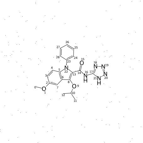 COc1ccc2c(c1)c(OC(C)C)c(C(=O)Nc1nnn[nH]1)n2-c1ccccc1